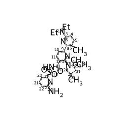 CCN(CC)c1ccc(C)c(-c2ccc(C(=O)NS(=O)(=O)c3cccc(N)n3)c(N3CC(C)CC3(C)C)n2)n1